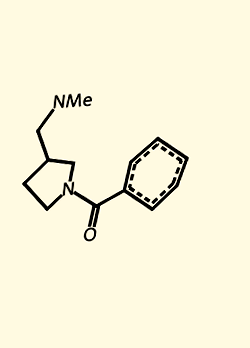 CNCC1CCN(C(=O)c2ccccc2)C1